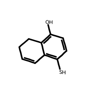 Oc1ccc(S)c2c1CCC=C2